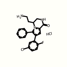 Cl.NCCC1CNC(=O)c2cc(-c3cc(Cl)ccc3F)c(-c3ccccc3)n21